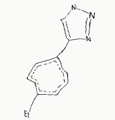 CCc1ccc(C2=C[N]N=N2)cc1